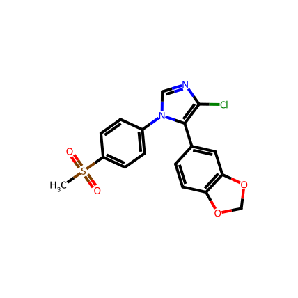 CS(=O)(=O)c1ccc(-n2cnc(Cl)c2-c2ccc3c(c2)OCO3)cc1